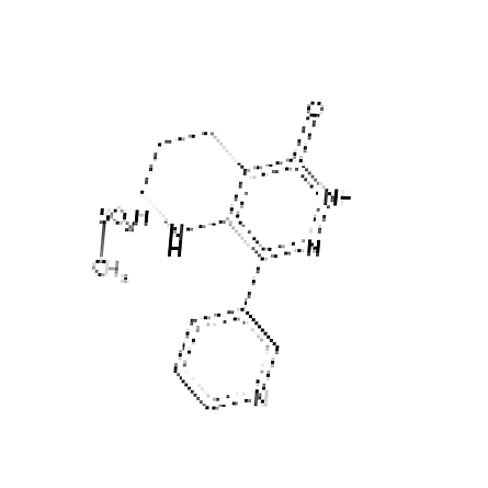 CS(=O)(=O)O.O=c1[nH]nc(-c2cccnc2)c2c1CCCN2